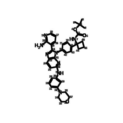 CC(C)(C)OC(=O)NC1(c2ccc(-n3c(-c4cccnc4N)nc4ccc(Nc5cccc(N6CCOCC6)c5)nc43)cc2)CCC1